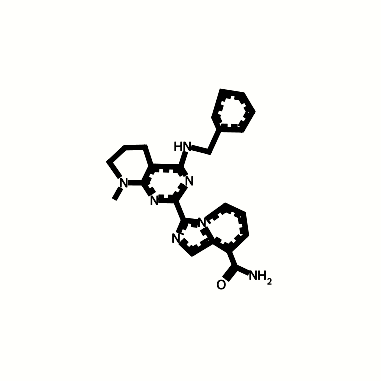 CN1CCCc2c(NCc3ccccc3)nc(-c3ncc4c(C(N)=O)cccn34)nc21